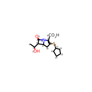 CC(O)C1C(=O)N2C(C(=O)O)=C(SC3CCCC3)CC12